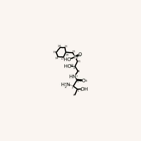 CC(O)[C@H](N)C(=O)NC[C@@H](O)CP(=O)(O)CC1CCCCC1